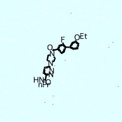 CCCNC(=O)c1ccc(N2CCN(C(=O)c3ccc(-c4cccc(OCC)c4)c(F)c3)CC2)nn1